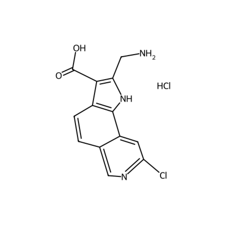 Cl.NCc1[nH]c2c(ccc3cnc(Cl)cc32)c1C(=O)O